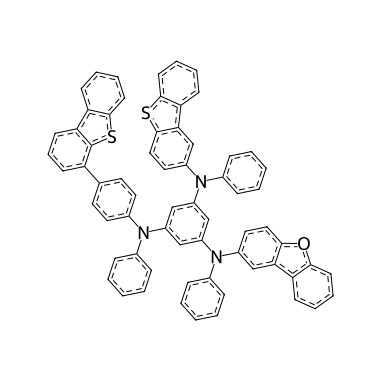 c1ccc(N(c2ccc(-c3cccc4c3sc3ccccc34)cc2)c2cc(N(c3ccccc3)c3ccc4oc5ccccc5c4c3)cc(N(c3ccccc3)c3ccc4sc5ccccc5c4c3)c2)cc1